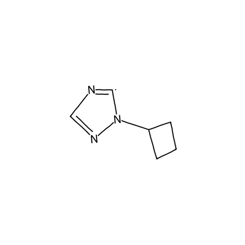 [c]1ncnn1C1CCC1